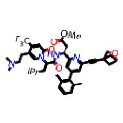 COC(=O)C[C@H](NC(=O)C(CC(C)C)n1cc(CCN(C)C)c(C(F)(F)F)cc1=O)c1cc(-c2c(C)cccc2C)cc(C#CC23COC(C2)C3)n1